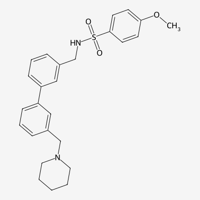 COc1ccc(S(=O)(=O)NCc2cccc(-c3cccc(CN4CCCCC4)c3)c2)cc1